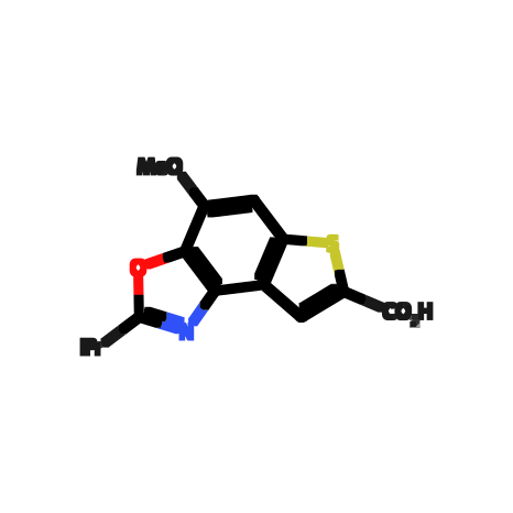 COc1cc2sc(C(=O)O)cc2c2nc(C(C)C)oc12